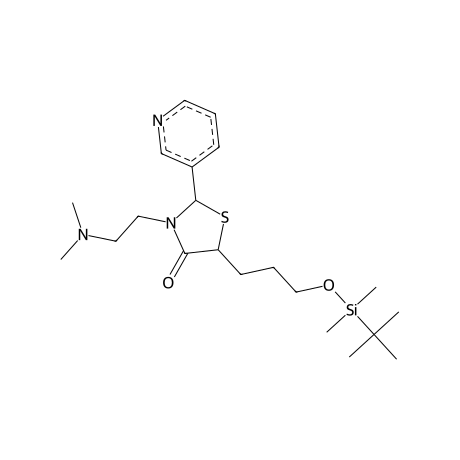 CN(C)CCN1C(=O)C(CCCO[Si](C)(C)C(C)(C)C)SC1c1cccnc1